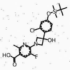 Cc1nc(N2CC(O)(c3ccc(O[Si](C)(C)C(C)(C)C)cc3Cl)C2)c(F)cc1C(=O)O